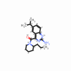 CCCC1CCCCN1C(=O)c1nc(N)nc2ccc(C(C)C)cc12